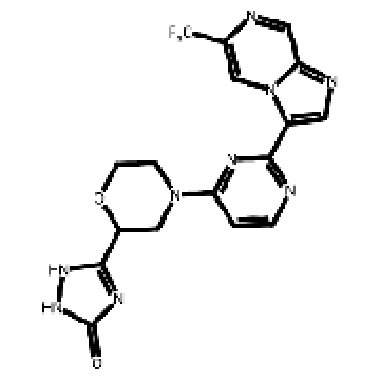 O=c1nc(C2CN(c3ccnc(-c4cnc5cnc(C(F)(F)F)cn45)n3)CCO2)[nH][nH]1